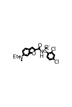 CCN(C)c1ccc2cc(C(=O)N[S+]([O-])c3ccc(Cl)cc3Cl)oc2c1